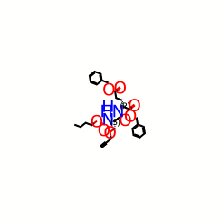 C#CCOC[C@H](NC(=O)OCCCC)C(=O)N[C@H](CCC(=O)OCc1ccccc1)C(=O)OCc1ccccc1